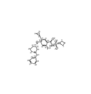 O=C(NS(=O)(=O)N1CCC1)c1cc(C2CC2)c(O[C@H]2CCCN(Cc3ccccc3)C2)cc1F